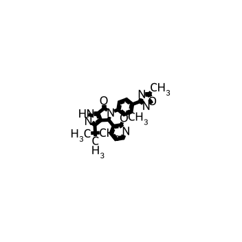 COc1ncccc1C1c2c(C(C)(C)C)n[nH]c2C(=O)N1c1ccc(-c2noc(C)n2)cc1